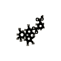 COC(=O)c1cccc(C(=O)Oc2c(C)cc(C3(c4cc(C)c(C)c(C)c4)CC(C)CC(C)(C)C3)cc2C)c1